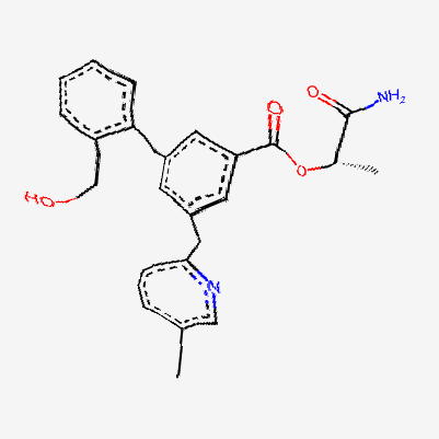 Cc1ccc(-c2cc(C(=O)O[C@@H](C)C(N)=O)cc(-c3ccccc3CO)c2)nc1